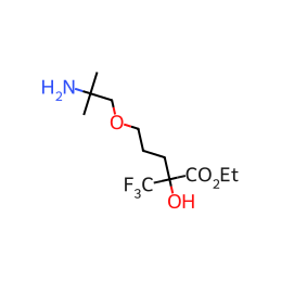 CCOC(=O)C(O)(CCCOCC(C)(C)N)C(F)(F)F